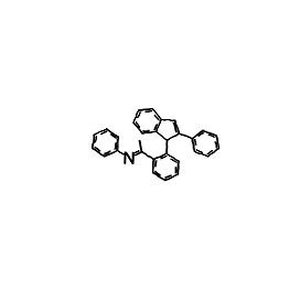 C/C(=N\c1ccccc1)c1ccccc1C1C(c2ccccc2)=Cc2ccccc21